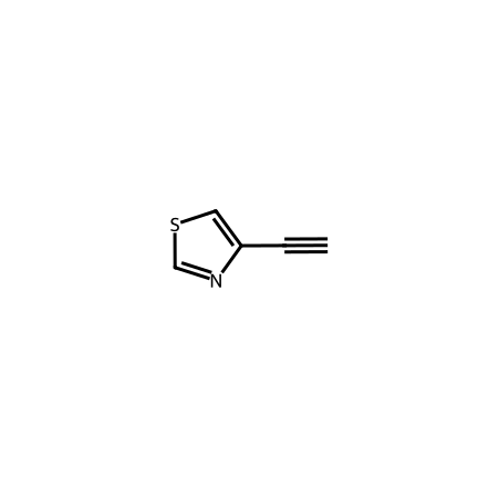 C#Cc1cscn1